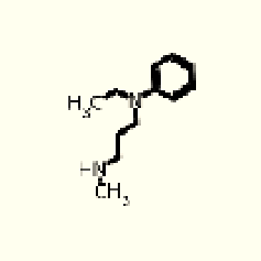 CCN(CCCNC)c1ccccc1